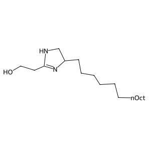 CCCCCCCCCCCCCCC1CNC(CCO)=N1